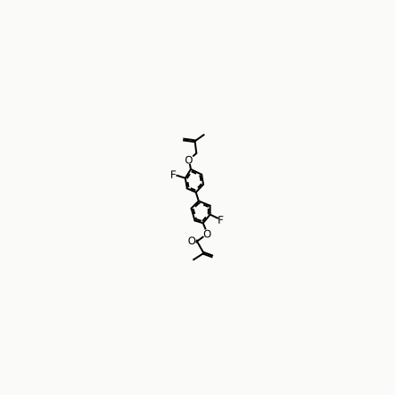 C=C(C)COc1ccc(-c2ccc(OC(=O)C(=C)C)c(F)c2)cc1F